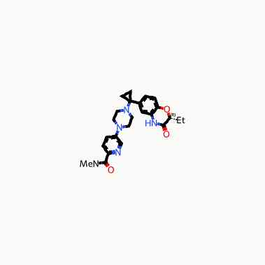 CC[C@H]1Oc2ccc(C3(N4CCN(c5ccc(C(=O)NC)nc5)CC4)CC3)cc2NC1=O